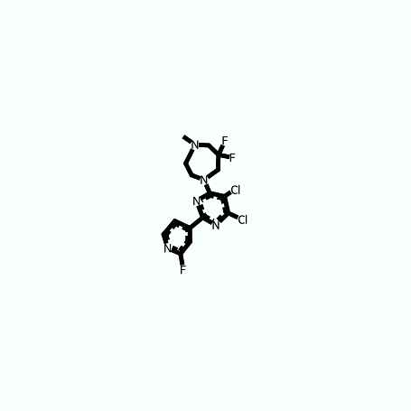 CN1CCN(c2nc(-c3ccnc(F)c3)nc(Cl)c2Cl)CC(F)(F)C1